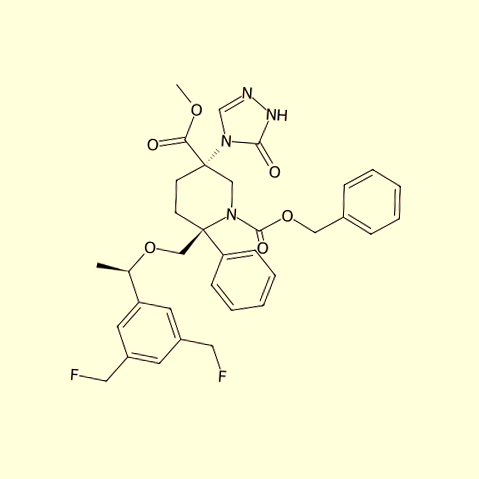 COC(=O)[C@]1(n2cn[nH]c2=O)CC[C@@](CO[C@H](C)c2cc(CF)cc(CF)c2)(c2ccccc2)N(C(=O)OCc2ccccc2)C1